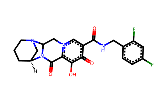 O=C(NCc1ccc(F)cc1F)c1cn2c(c(O)c1=O)C(=O)N1C(C2)N2CCC[C@H]1C2